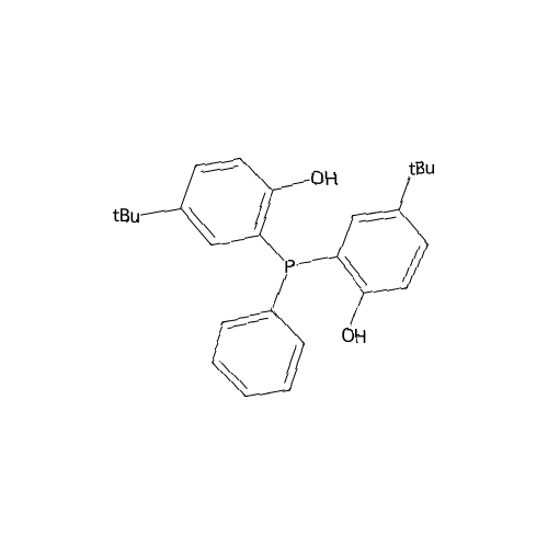 CC(C)(C)c1ccc(O)c(P(c2ccccc2)c2cc(C(C)(C)C)ccc2O)c1